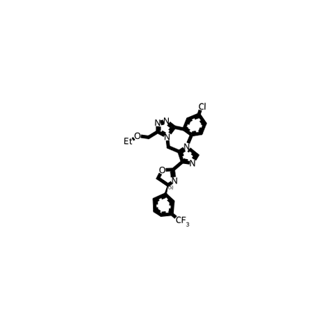 CCOCc1nnc2n1Cc1c(C3=N[C@@H](c4cccc(C(F)(F)F)c4)CO3)ncn1-c1ccc(Cl)cc1-2